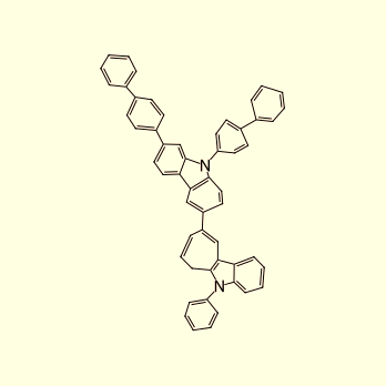 C1=CC(c2ccc3c(c2)c2ccc(-c4ccc(-c5ccccc5)cc4)cc2n3-c2ccc(-c3ccccc3)cc2)=Cc2c(n(-c3ccccc3)c3ccccc23)C1